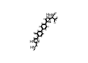 CNCc1nc(-c2ccc(-c3ccc(-c4c[nH]c(C(NC)C(C)C)n4)cc3)cc2C)c[nH]1